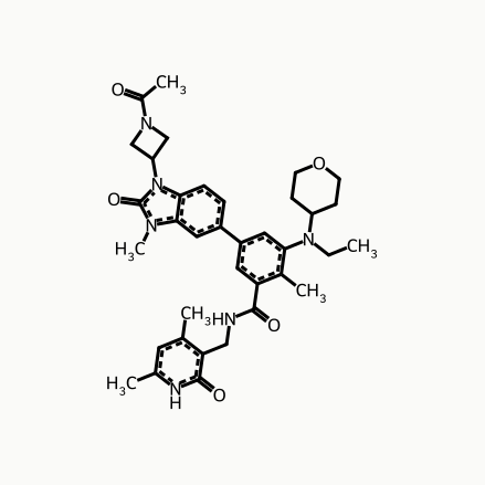 CCN(c1cc(-c2ccc3c(c2)n(C)c(=O)n3C2CN(C(C)=O)C2)cc(C(=O)NCc2c(C)cc(C)[nH]c2=O)c1C)C1CCOCC1